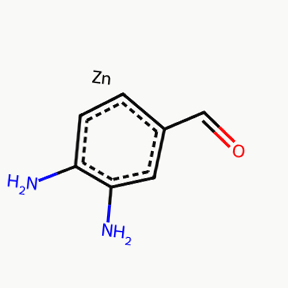 Nc1ccc(C=O)cc1N.[Zn]